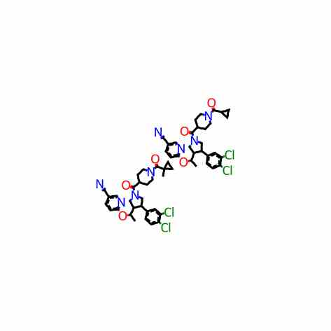 CC(Oc1ccc(C#N)cn1)C1CN(C(=O)C2CCN(C(=O)C3(C)CC3)CC2)CC1c1ccc(Cl)c(Cl)c1.CC(Oc1ccc(C#N)cn1)C1CN(C(=O)C2CCN(C(=O)C3CC3)CC2)CC1c1ccc(Cl)c(Cl)c1